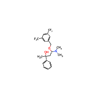 CN(C)C(CC(C)(O)c1ccccc1)OCc1cc(C(F)(F)F)cc(C(F)(F)F)c1